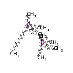 CCCCCCCCCCCCCC[PH](CCCCCC)(CCCCCC)CCCCCC.CCCCCC[PH](CCCC)(CCCC)CCCCCC